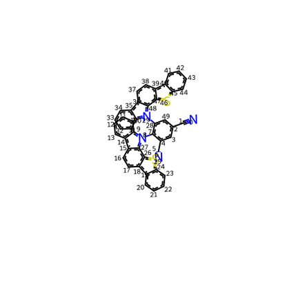 N#Cc1cc(C#N)c(-n2c3ccccc3c3ccc4c5ccccc5sc4c32)c(-n2c3ccccc3c3ccc4c5ccccc5sc4c32)c1